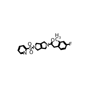 Cc1cc(F)ccc1CC(=O)N1CC2=C(C1)CN(S(=O)(=O)c1ccccn1)C2